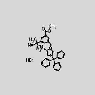 Br.COC(=O)c1cc(CN2CN(C(c3ccccc3)(c3ccccc3)c3ccccc3)C=C2C)cc(C(C)(C)C#N)c1